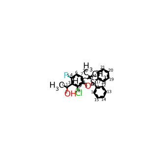 CC(O)c1c(F)ccc(O[Si](c2ccccc2)(c2ccccc2)C(C)(C)C)c1Cl